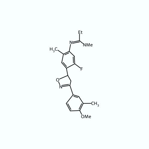 CCC(=Nc1cc(F)c(C2CC(c3ccc(OC)c(C)c3)=NO2)cc1C)NC